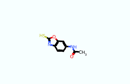 CC(=O)Nc1ccc2nc(S)oc2c1